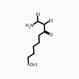 CCCCCCCCCCCCCC(=O)C(CC)C(N)CC